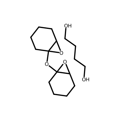 C1CCC2(OC34CCCCC3O4)OC2C1.OCCCCO